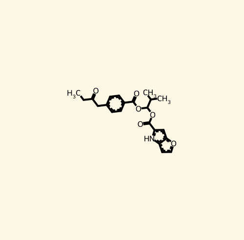 CCC(=O)Cc1ccc(C(=O)OC(OC(=O)c2cc3occc3[nH]2)C(C)C)cc1